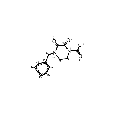 O=C1C(=O)N(C(=O)Cl)CCN1Cc1ccccc1